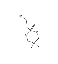 CC1(C)COP(=O)(CCC#N)OC1